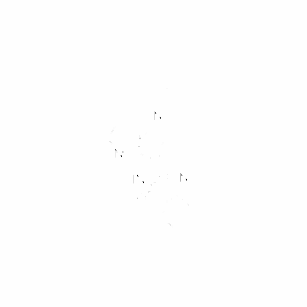 O=Nc1ccccc1S(=O)(=O)Nc1ccc(N2CCOCC2)c2cccnc12